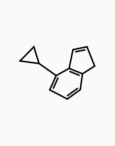 C1=Cc2c(cccc2C2CC2)C1